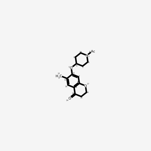 CC(=O)N1CCC(Oc2cc3c(cc2C)C(=O)CCO3)CC1